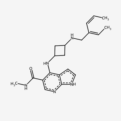 C/C=C\C(=C/C)CNC1CC(Nc2c(C(=O)NC)cnc3[nH]ccc23)C1